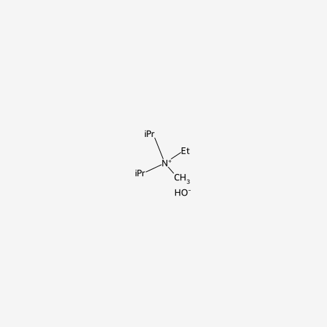 CC[N+](C)(C(C)C)C(C)C.[OH-]